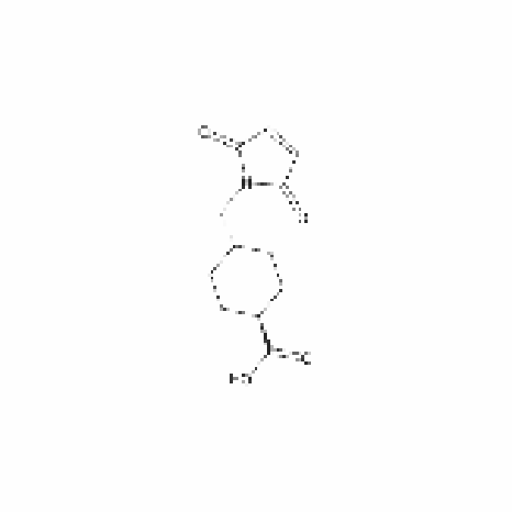 O=C1C=CC(=O)N1C[C@H]1CC[C@H](C(=O)O)CC1